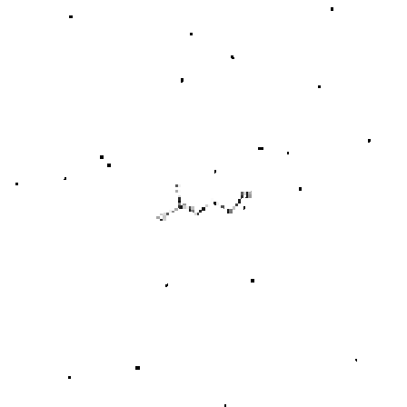 CCSC=C(Cl)Cl